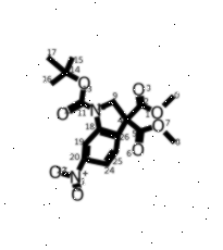 COC(=O)C1(C(=O)OC)CN(C(=O)OC(C)(C)C)c2cc([N+](=O)[O-])ccc21